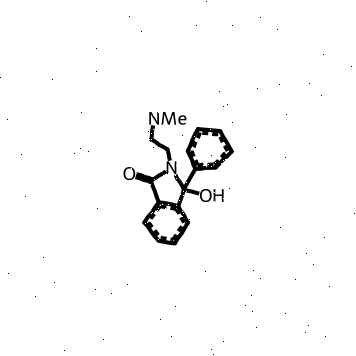 CNCCN1C(=O)c2ccccc2C1(O)c1ccccc1